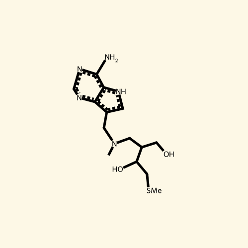 CSCC(O)C(CO)CN(C)Cc1c[nH]c2c(N)ncnc12